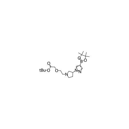 CC(C)(C)OC(=O)COCCN1CCC(n2cc(B3OC(C)(C)C(C)(C)O3)cn2)C1